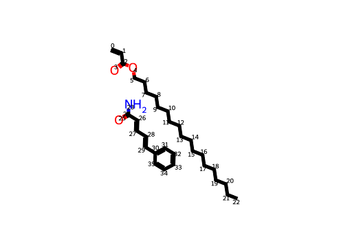 C=CC(=O)OCCCCCCCCCCCCCCCCCC.NC(=O)C=CC=Cc1ccccc1